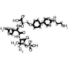 CC1(C)[C@H](NC(=O)/C(=N\O[C@@H](COc2ccc(-c3cnc(NCCN)nc3)cc2)C(=O)O)c2csc(N)n2)C(=O)N1OS(=O)(=O)O